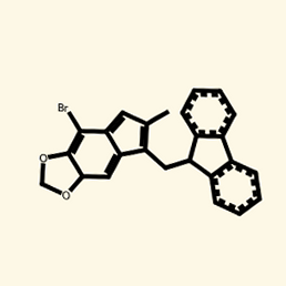 CC1=C(CC2c3ccccc3-c3ccccc32)C2=CC3OCOC3=C(Br)C2=C1